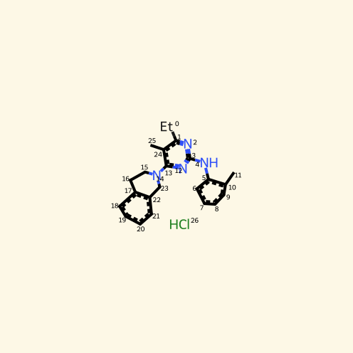 CCc1nc(Nc2ccccc2C)nc(N2CCc3ccccc3C2)c1C.Cl